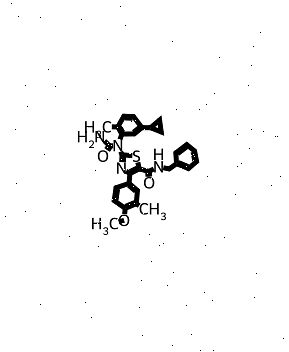 COc1ccc(-c2nc(N(C(N)=O)c3cc(C4CC4)ccc3C)sc2C(=O)NCc2ccccc2)cc1C